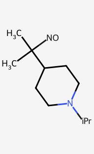 CC(C)N1CCC(C(C)(C)N=O)CC1